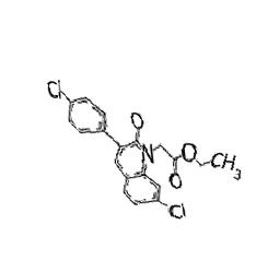 CCOC(=O)Cn1c(=O)c(-c2ccc(Cl)cc2)cc2ccc(Cl)cc21